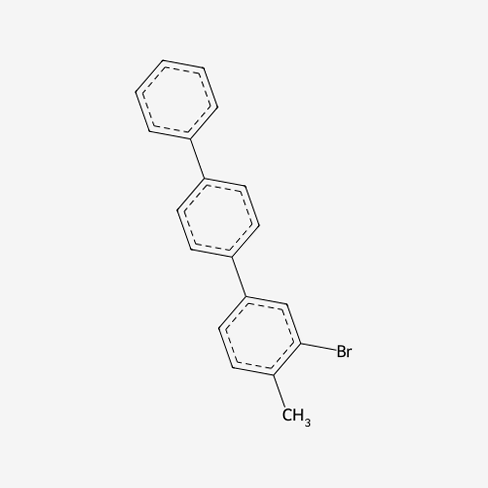 Cc1ccc(-c2ccc(-c3ccccc3)cc2)cc1Br